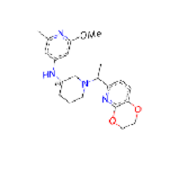 COc1cc(N[C@H]2CCCN(C(C)c3ccc4c(n3)OCCO4)C2)cc(C)n1